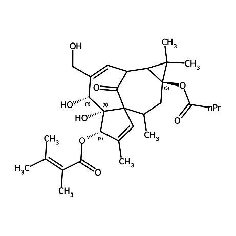 CCCC(=O)O[C@@]12CC(C)C34C=C(C)[C@H](OC(=O)C(C)=C(C)C)[C@@]3(O)[C@H](O)C(CO)=CC(C4=O)C1C2(C)C